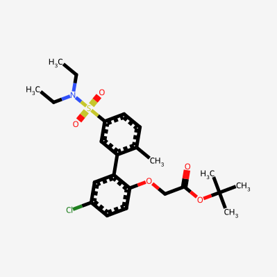 CCN(CC)S(=O)(=O)c1ccc(C)c(-c2cc(Cl)ccc2OCC(=O)OC(C)(C)C)c1